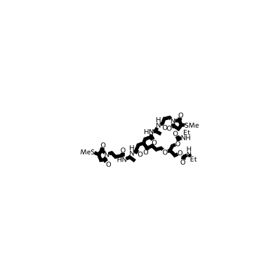 CCNC(=O)OCC(COC(=O)NCC)OCCCC(=O)C(CC(=O)NC(C)NC(=O)CCN1C(=O)CC(SC)C1=O)CC(=O)NC(C)NC(=O)CCN1C(=O)CC(SC)C1=O